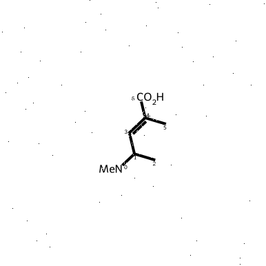 CNC(C)C=C(C)C(=O)O